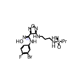 CC(C)S(=N)(=O)NCCCNc1nonc1/C(=N/O)Nc1ccc(F)c(Br)c1